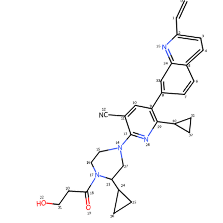 C=Cc1ccc2ccc(-c3cc(C#N)c(N4CCN(C(=O)CCO)C(C5CC5)C4)nc3C3CC3)cc2n1